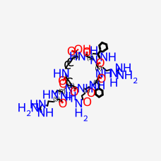 N=C(N)NCCC[C@@H]1NC[C@H](C(=O)N[C@H]2CC(=O)NCCCC[C@@H](C(=O)O)NC(=O)[C@H](Cc3c[nH]c4ccccc34)NC(=O)[C@H](CCCNC(=N)N)NC(=O)[C@@H](Cc3ccccc3)NC(=O)[C@H](CCC(N)=O)NC2=O)NC1=O